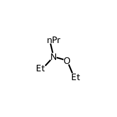 CCCN(CC)OCC